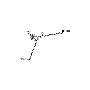 CCCCC/C=C\CCCCCCCCCCC(=O)OC[C@H](COP(=O)(O)OCC[N+](C)(C)C)OC(=O)CCCCCCCCCC/C=C\CCCCC